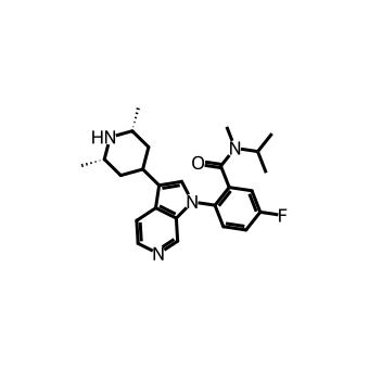 CC(C)N(C)C(=O)c1cc(F)ccc1-n1cc(C2C[C@@H](C)N[C@@H](C)C2)c2ccncc21